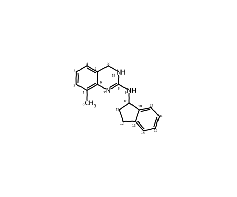 Cc1cccc2c1N=C(NC1CCc3ccccc31)NC2